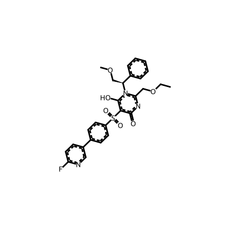 CCOCc1nc(=O)c(S(=O)(=O)c2ccc(-c3ccc(F)nc3)cc2)c(O)n1[C@@H](COC)c1ccccc1